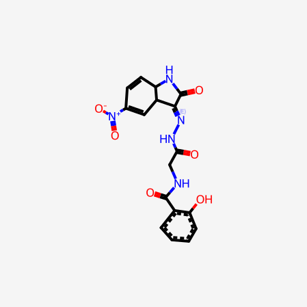 O=C(CNC(=O)c1ccccc1O)N/N=C1/C(=O)NC2C=CC([N+](=O)[O-])=CC12